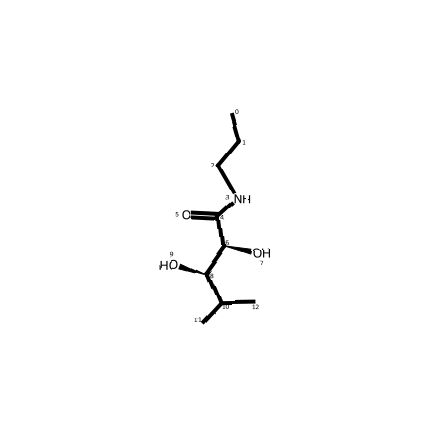 CCCNC(=O)[C@@H](O)[C@H](O)C(C)C